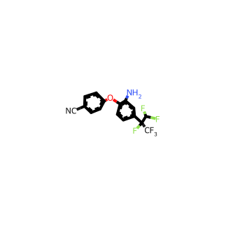 N#Cc1ccc(Oc2ccc(C(F)(C(F)F)C(F)(F)F)cc2N)cc1